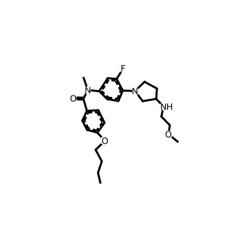 CCCCOc1ccc(C(=O)N(C)c2ccc(N3CCC(NCCOC)C3)c(F)c2)cc1